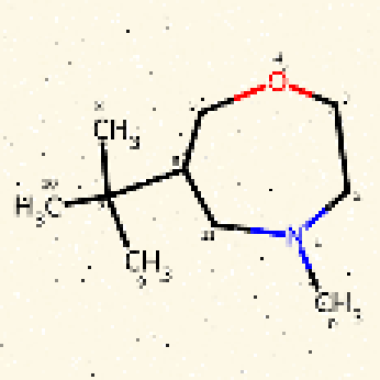 CN1CCOCC(C(C)(C)C)C1